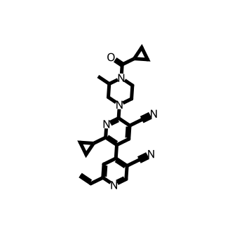 C=Cc1cc(-c2cc(C#N)c(N3CCN(C(=O)C4CC4)C(C)C3)nc2C2CC2)c(C#N)cn1